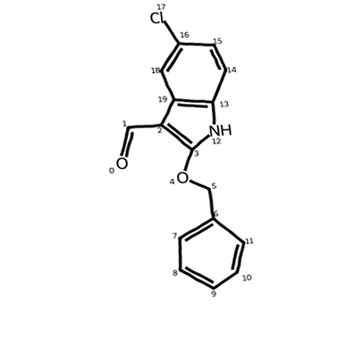 O=Cc1c(OCc2ccccc2)[nH]c2ccc(Cl)cc12